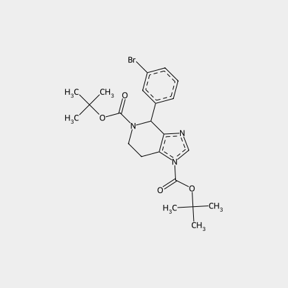 CC(C)(C)OC(=O)N1CCc2c(ncn2C(=O)OC(C)(C)C)C1c1cccc(Br)c1